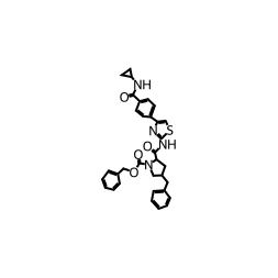 O=C(NC1CC1)c1ccc(-c2csc(NC(=O)C3CC(Cc4ccccc4)CN3C(=O)OCc3ccccc3)n2)cc1